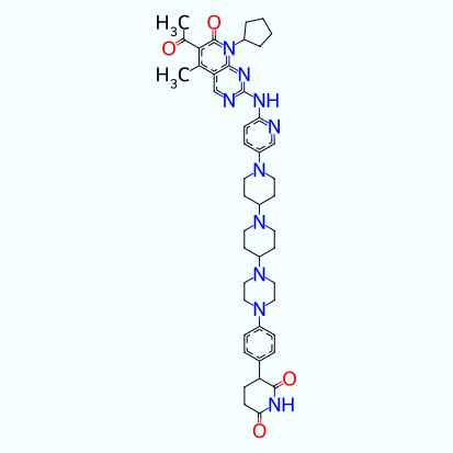 CC(=O)c1c(C)c2cnc(Nc3ccc(N4CCC(N5CCC(N6CCN(c7ccc(C8CCC(=O)NC8=O)cc7)CC6)CC5)CC4)cn3)nc2n(C2CCCC2)c1=O